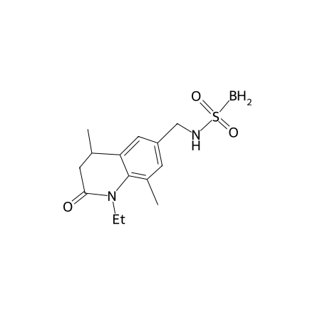 BS(=O)(=O)NCc1cc(C)c2c(c1)C(C)CC(=O)N2CC